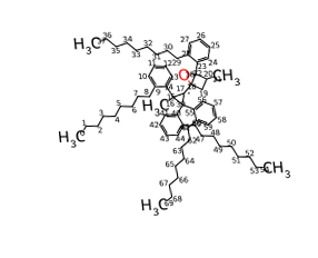 CCCCCCCCCc1ccccc1C1(C)[C](C23CC(C)C2(c2ccccc2CCCCCCCCC)O3)C1(c1ccccc1CCCCCCCCC)c1ccccc1CCCCCCCCC